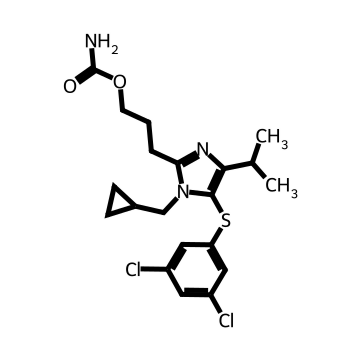 CC(C)c1nc(CCCOC(N)=O)n(CC2CC2)c1Sc1cc(Cl)cc(Cl)c1